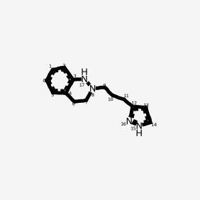 c1ccc2c(c1)CCN(CCCc1cc[nH]n1)N2